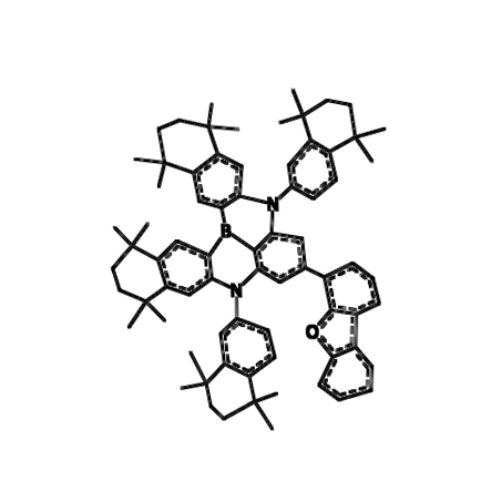 CC1(C)CCC(C)(C)c2cc(N3c4cc5c(cc4B4c6cc7c(cc6N(c6ccc8c(c6)C(C)(C)CCC8(C)C)c6cc(-c8cccc9c8oc8ccccc89)cc3c64)C(C)(C)CCC7(C)C)C(C)(C)CCC5(C)C)ccc21